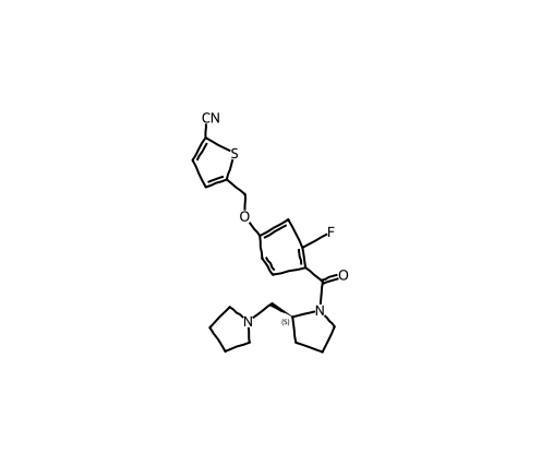 N#Cc1ccc(COc2ccc(C(=O)N3CCC[C@H]3CN3CCCC3)c(F)c2)s1